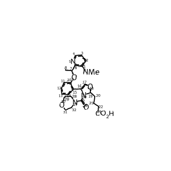 CNc1cccnc1C(C)Oc1ccccc1C1=COC(CCCC(=O)O)N1C(=O)N1CCOCC1